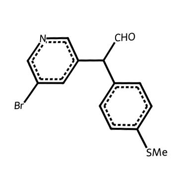 CSc1ccc(C(C=O)c2cncc(Br)c2)cc1